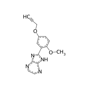 C#CCOc1ccc(OC)c(-c2nc3nccnc3[nH]2)c1